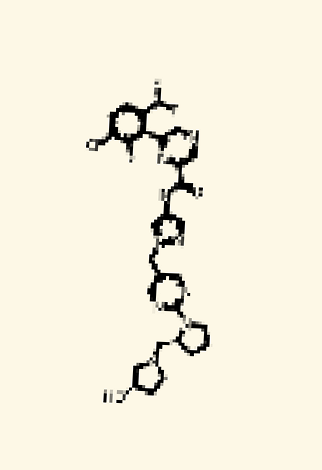 O=C(Nc1cnn(Cc2cnc(N3CCC[C@H]3CN3CC[C@@H](O)C3)nc2)c1)c1cncc(-c2c(C(F)F)ccc(Cl)c2F)n1